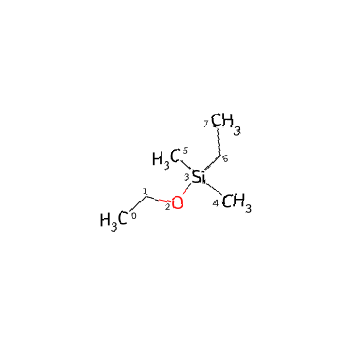 CCO[Si](C)(C)CC